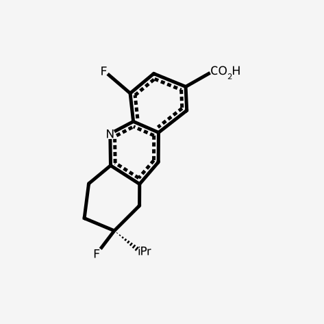 CC(C)[C@]1(F)CCc2nc3c(F)cc(C(=O)O)cc3cc2C1